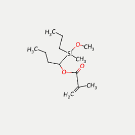 C=C(C)C(=O)OC(CCC)[Si](C)(CCC)OC